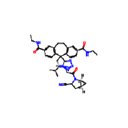 CCNC(=O)c1ccc2c(c1)CCc1cc(C(=O)NCC)ccc1C2(C[C@H](NCC(=O)N1C(C#N)C[C@@H]2C[C@@H]21)C(C)C)c1nnn[nH]1